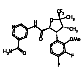 COc1c([C@@H]2[C@@H](C(=O)Nc3cncc(C(N)=O)c3)O[C@@](C)(C(F)(F)F)[C@@H]2C)ccc(F)c1F